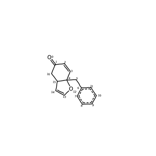 O=C1C=CC2(Cc3ccccc3)OC=CC2C1